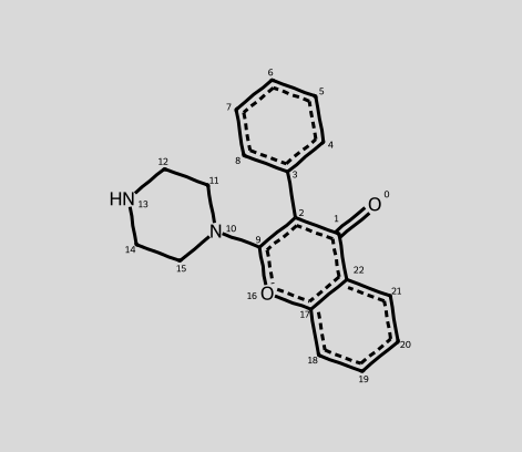 O=c1c(-c2ccccc2)c(N2CCNCC2)oc2ccccc12